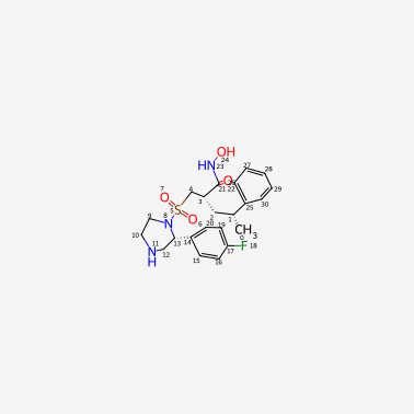 C[C@H](C[C@H](CS(=O)(=O)N1CCNC[C@H]1c1ccc(F)cc1)C(=O)NO)c1ccccc1